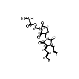 C=C/C=C1/C(=O)N(C2CCC(=O)N(COC(=O)NCC)C2=O)C(=O)/C1=C/C=C/C